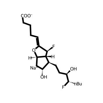 CCCC[C@H](F)[C@H](O)CC[C@@H]1[C@H]2[C@H](F)/C(=C/CCCC(=O)[O-])O[C@@H]2C[C@H]1O.[Na+]